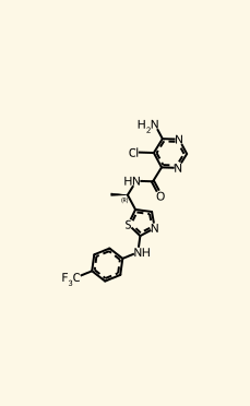 C[C@@H](NC(=O)c1ncnc(N)c1Cl)c1cnc(Nc2ccc(C(F)(F)F)cc2)s1